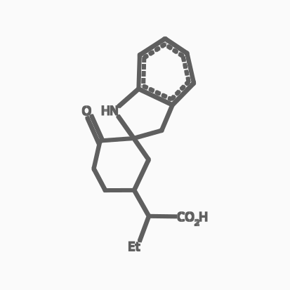 CCC(C(=O)O)C1CCC(=O)C2(Cc3ccccc3N2)C1